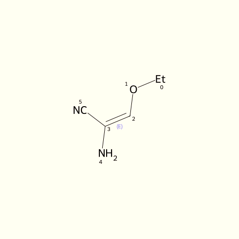 CCO/C=C(/N)C#N